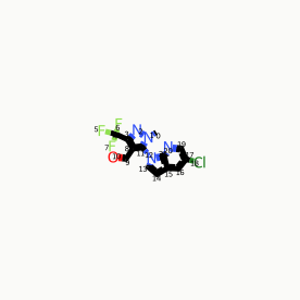 Cn1nc(C(F)(F)F)c(C=O)c1-n1ccc2cc(Cl)cnc21